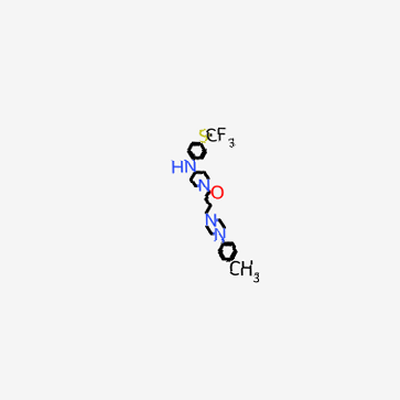 Cc1ccc(N2CCN(CCCC(=O)N3CCC(Nc4ccc(SC(F)(F)F)cc4)CC3)CC2)cc1